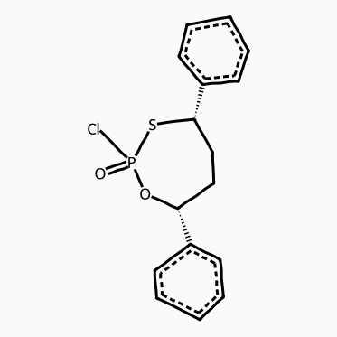 O=P1(Cl)O[C@@H](c2ccccc2)CC[C@@H](c2ccccc2)S1